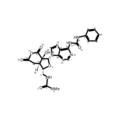 CNC(=O)NC[C@H]1O[C@@H](n2cnc3c(NC(=O)Nc4ccccc4)ncnc32)[C@@]2(O)C(=O)OC(=O)C[C@H]12